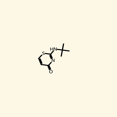 CC(C)(C)Nc1nc(=O)ccs1